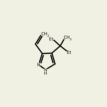 C=Cc1n[nH]cc1C(C)(CC)CC